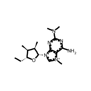 CC[C@H]1O[C@@H](n2c[n+](C)c3c(N)nc(N(C)C)nc32)[C@H](C)[C@@H]1C